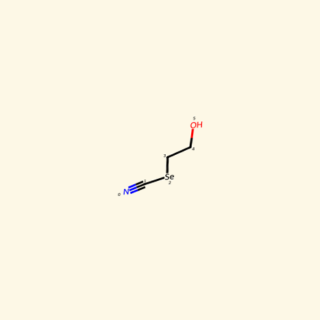 N#C[Se]CCO